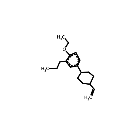 C=CC1CCC(c2ccc(OCC)c(CCC)c2)CC1